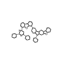 c1ccc(-c2cc(-c3cccc4c3oc3c(-c5ccc6c(c5)c5cc7c(cc5n6-c5ccccc5)oc5ccccc57)cccc34)nc(-c3ccccc3)n2)cc1